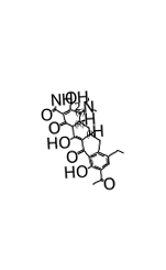 CCc1cc(C(C)=O)c(O)c2c1C[C@H]1C[C@@H]3C(C(=O)C(C(N)=O)=C(O)[C@H]3N(C)C)C(O)=C1C2=O